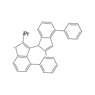 CC1=Cc2c(-c3ccccc3)cccc2C1C1=C(C(C)C)[CH]c2cccc(-c3ccccc3)c21